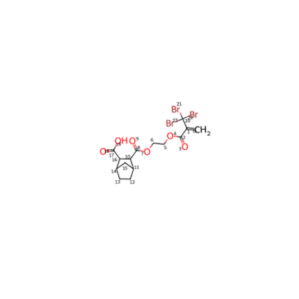 C=C(C(=O)OCCOC(=O)C1C2CCC(C2)C1C(=O)O)C(Br)(Br)Br